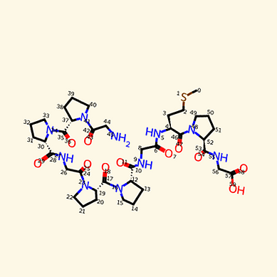 CSCC[C@H](NC(=O)CNC(=O)[C@@H]1CCCN1C(=O)[C@@H]1CCCN1C(=O)CNC(=O)[C@@H]1CCCN1C(=O)[C@@H]1CCCN1C(=O)CN)C(=O)N1CCC[C@H]1C(=O)NCC(=O)O